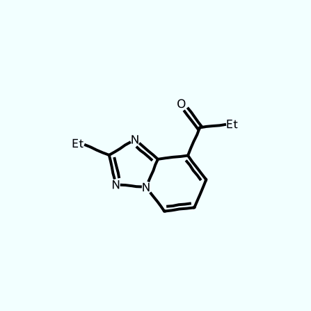 CCC(=O)c1cccn2nc(CC)nc12